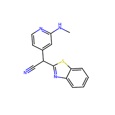 CNc1cc(C(C#N)c2nc3ccccc3s2)ccn1